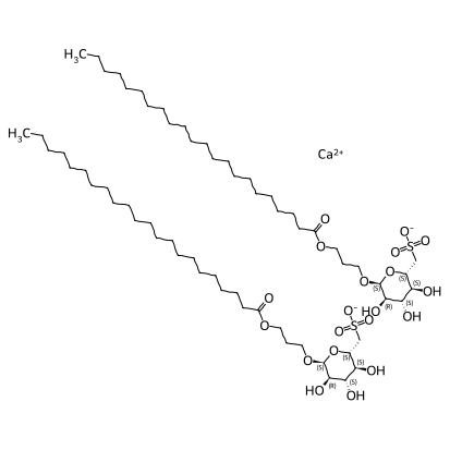 CCCCCCCCCCCCCCCCCCCCCC(=O)OCCCO[C@H]1O[C@H](CS(=O)(=O)[O-])[C@@H](O)[C@H](O)[C@H]1O.CCCCCCCCCCCCCCCCCCCCCC(=O)OCCCO[C@H]1O[C@H](CS(=O)(=O)[O-])[C@@H](O)[C@H](O)[C@H]1O.[Ca+2]